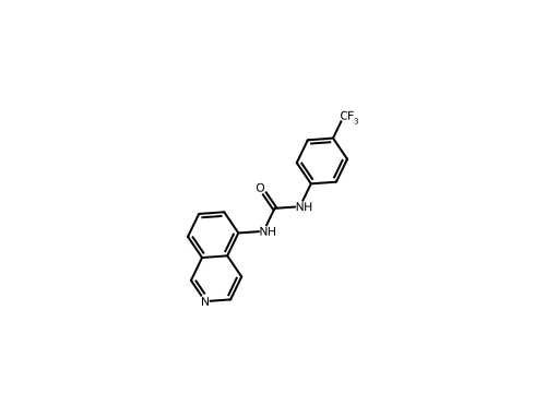 O=C(Nc1ccc(C(F)(F)F)cc1)Nc1cccc2cnccc12